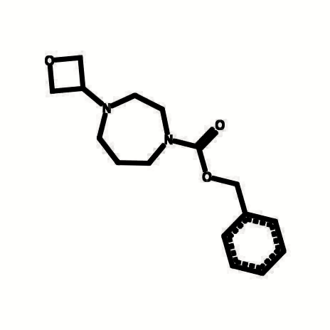 O=C(OCc1ccccc1)N1CCCN(C2COC2)CC1